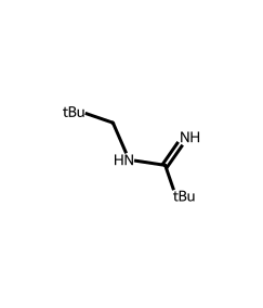 CC(C)(C)CNC(=N)C(C)(C)C